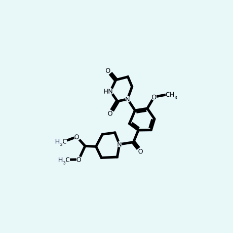 COc1ccc(C(=O)N2CCC(C(OC)OC)CC2)cc1N1CCC(=O)NC1=O